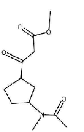 COC(=O)CC(=O)C1CCC(N(C)C(C)=O)C1